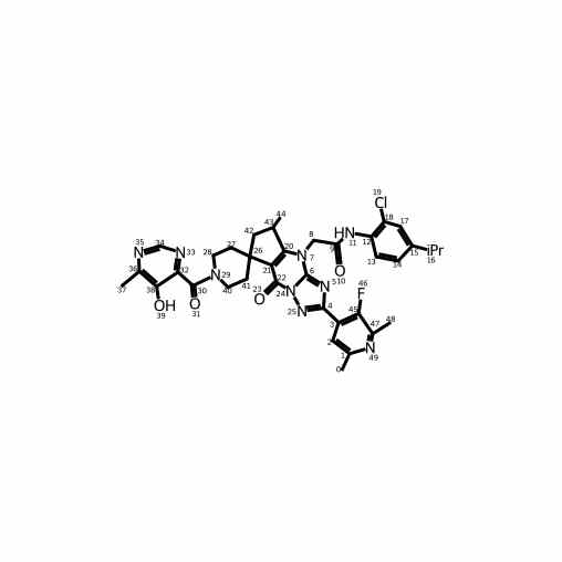 Cc1cc(-c2nc3n(CC(=O)Nc4ccc(C(C)C)cc4Cl)c4c(c(=O)n3n2)C2(CCN(C(=O)c3ncnc(C)c3O)CC2)CC4C)c(F)c(C)n1